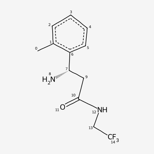 Cc1ccccc1[C@@H](N)CC(=O)NCC(F)(F)F